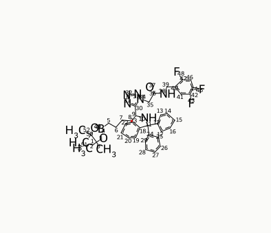 CC1(C)OB(CCCCC(NC(c2ccccc2)(c2ccccc2)c2ccccc2)c2nnnn2CC(=O)NCc2cc(F)c(F)cc2F)OC1(C)C